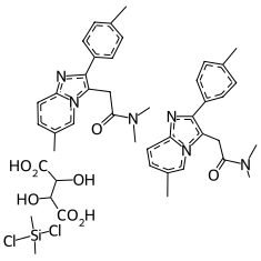 C[Si](C)(Cl)Cl.Cc1ccc(-c2nc3ccc(C)cn3c2CC(=O)N(C)C)cc1.Cc1ccc(-c2nc3ccc(C)cn3c2CC(=O)N(C)C)cc1.O=C(O)C(O)C(O)C(=O)O